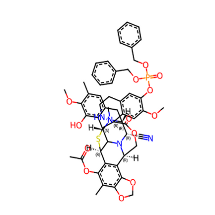 COc1cc2c(cc1OP(=O)(OCc1ccccc1)OCc1ccccc1)CCN[C@]21CS[C@@H]2c3c(OC(C)=O)c(C)c4c(c3[C@H](COC1=O)N1C2[C@@H]2c3c(cc(C)c(OC)c3O)C[C@H]([C@@H]1C#N)N2C)OCO4